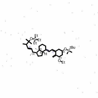 C=C1/C(=C\C=C2/CCC[C@]3(C)C([C@H](C)/C=C/C(C)C(C)(C)O[Si](CC)(CC)CC)CC[C@@H]23)C[C@@H](O[Si](C)(C)C(C)(C)C)C[C@@H]1OCC